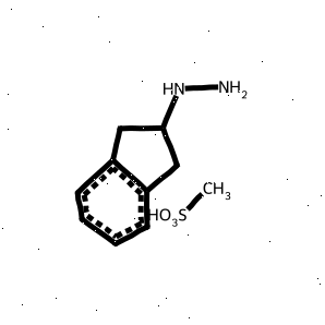 CS(=O)(=O)O.NNC1Cc2ccccc2C1